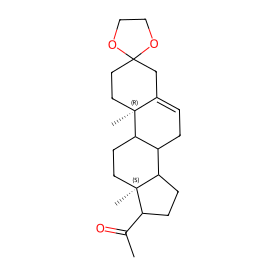 CC(=O)C1CCC2C3CC=C4CC5(CC[C@]4(C)C3CC[C@]12C)OCCO5